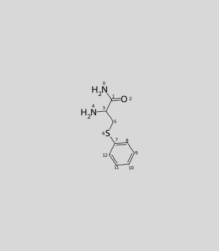 NC(=O)C(N)CSc1ccccc1